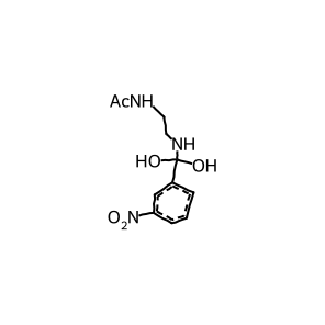 CC(=O)NCCNC(O)(O)c1cccc([N+](=O)[O-])c1